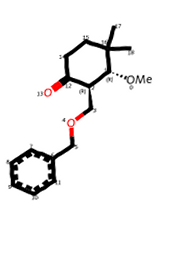 CO[C@@H]1[C@@H](COCc2ccccc2)C(=O)CCC1(C)C